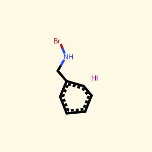 BrNCc1ccccc1.I